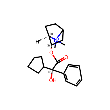 C[N+]1(C)C2CC[C@@H]1[C@@H](OC(=O)[C@](O)(c1ccccc1)C1CCCC1)C2